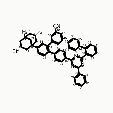 CC[C@@H]1C[C@@H]2C[C@H](C)CC(c3ccc(-c4ccc(-c5nc(-c6ccccc6)nc(-c6ccccc6-c6ccccc6)n5)cc4)c(-c4cccc(C#N)c4)c3)(C1)C2